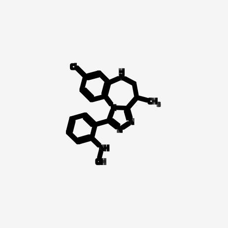 CC1CNc2cc(Cl)ccc2-n2c(-c3ccccc3NO)nnc21